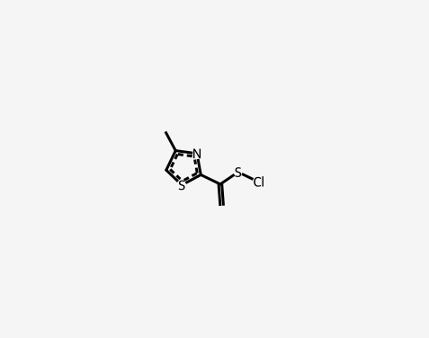 C=C(SCl)c1nc(C)cs1